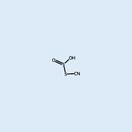 N#CSS(=O)O